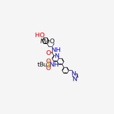 COC[C@H](Cc1ccc(O)cc1)NC(=O)c1cc(NS(=O)(=O)C(C)(C)C)c2cc(-c3cccc(Cn4ccnc4)c3)ccc2n1